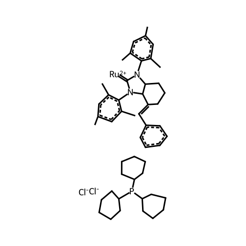 C1CCC(P(C2CCCCC2)C2CCCCC2)CC1.Cc1cc(C)c(N2[C](=[Ru+2])N(c3c(C)cc(C)cc3C)C3C(=Cc4ccccc4)CCCC32)c(C)c1.[Cl-].[Cl-]